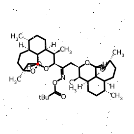 C[C@H]1[C@@H](/C(C[C@H]2O[C@@H]3C[C@]4(C)CC[C@H]5[C@H](C)CC[C@@H]([C@H]2C)[C@@]35OO4)=N\OC(=O)C(C)(C)C)O[C@@H]2C[C@]3(C)CC[C@H]4[C@H](C)CC[C@@H]1[C@@]24OO3